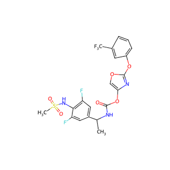 CC(NC(=O)Oc1coc(Oc2cccc(C(F)(F)F)c2)n1)c1cc(F)c(NS(C)(=O)=O)c(F)c1